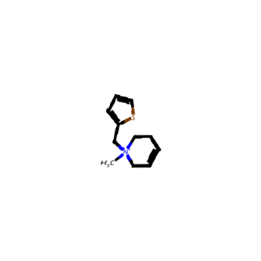 C[N+]1(Cc2cccs2)CC=CCC1